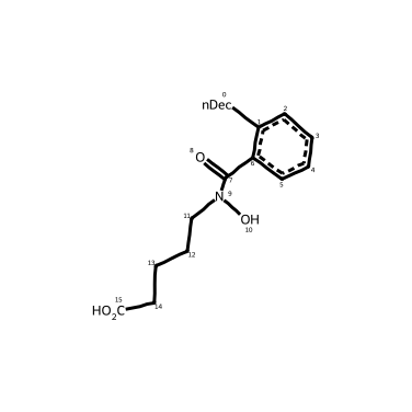 CCCCCCCCCCc1ccccc1C(=O)N(O)CCCCC(=O)O